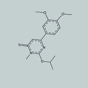 COc1ccc(-c2cc(=S)n(C)c(OC(C)C)n2)cc1OC